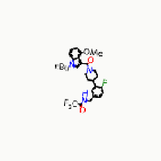 CCCCn1cc(C(=O)N2CCC(c3cc(CNC(=O)C(F)(F)F)ccc3F)CC2)c2c(OC)cccc21